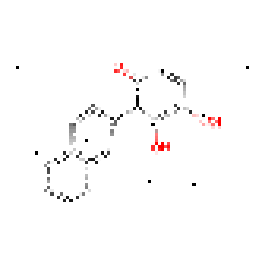 O=C1C=CC(O)=C(O)C1c1ccc2ccccc2c1